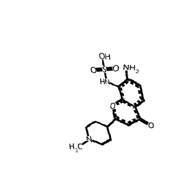 CN1CCC(c2cc(=O)c3ccc(N)c(NS(=O)(=O)O)c3o2)CC1